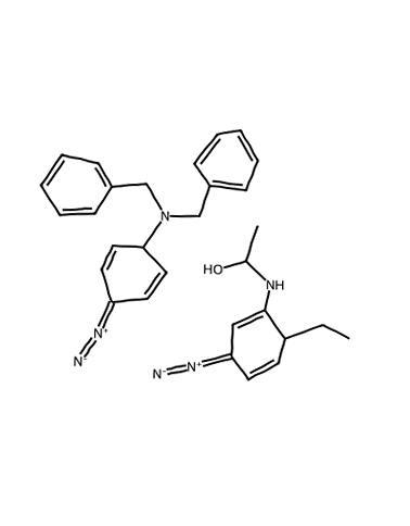 CCC1C=CC(=[N+]=[N-])C=C1NC(C)O.[N-]=[N+]=C1C=CC(N(Cc2ccccc2)Cc2ccccc2)C=C1